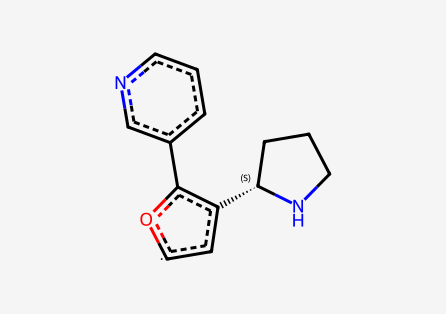 [c]1cc([C@@H]2CCCN2)c(-c2cccnc2)o1